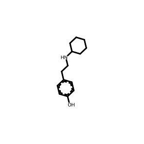 Oc1ccc(CCNC2CCCCC2)cc1